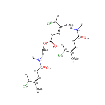 CCCCOC(=O)CC=C(OC)C(C)Cl.COC(=CCC(=O)N(C)C)C(C)Br.COC(=CCC(=O)N(C)C)C(C)Cl